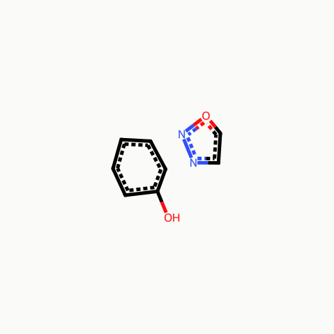 Oc1ccccc1.c1conn1